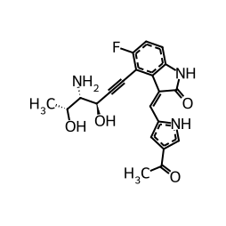 CC(=O)c1c[nH]c(C=C2C(=O)Nc3ccc(F)c(C#C[C@@H](O)[C@@H](N)[C@@H](C)O)c32)c1